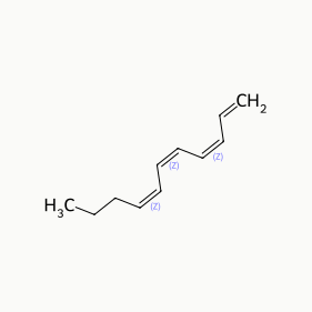 C=C\C=C/C=C\C=C/CCC